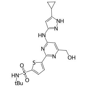 CC(C)(C)NS(=O)(=O)c1ccc(-c2nc(CO)cc(Nc3cc(C4CC4)[nH]n3)n2)s1